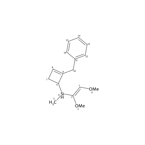 COC=C(OC)[SiH](C)C1CC=C1Cc1ccccc1